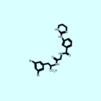 O=C(CNC(=O)c1cccc(NC2=NCCCN2)c1)NC(Cc1cc(Br)cc(Br)c1)C(=O)O